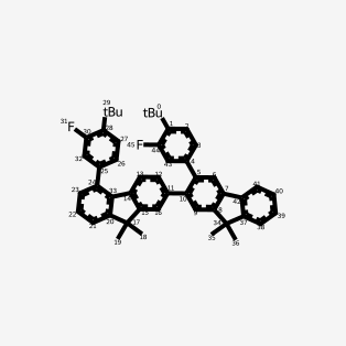 CC(C)(C)c1ccc(-c2cc3c(cc2-c2ccc4c(c2)C(C)(C)c2cccc(-c5ccc(C(C)(C)C)c(F)c5)c2-4)C(C)(C)c2ccccc2-3)cc1F